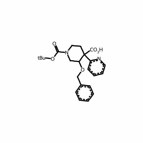 CC(C)(C)OC(=O)N1CCC(C(=O)O)(c2ccccn2)C(OCc2ccccc2)C1